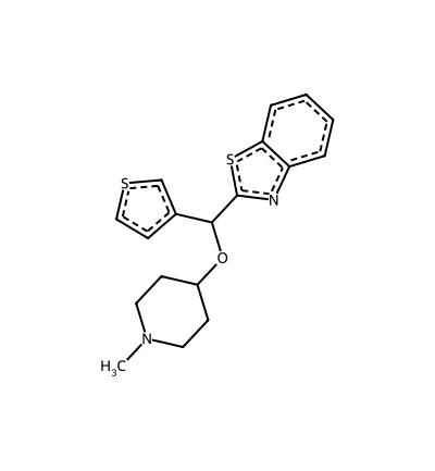 CN1CCC(OC(c2ccsc2)c2nc3ccccc3s2)CC1